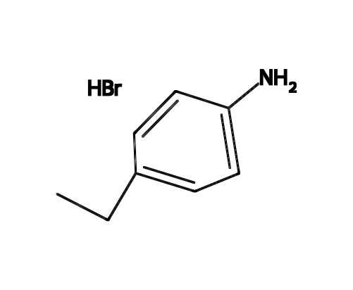 Br.CCc1ccc(N)cc1